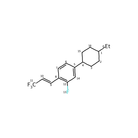 CCC1CCC(c2ccc(/C=C/C(F)(F)F)c(F)c2)CC1